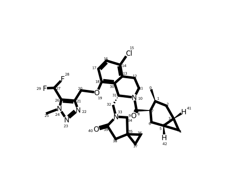 C[C@H]1C[C@@H]2C[C@@H]2C[C@H]1C(=O)N1CCc2c(Cl)ccc(OCc3nnn(C)c3C(F)F)c2[C@H]1CN1CC2(CC2)CC1=O